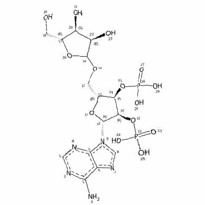 Nc1ncnc2c1ncn2[C@@H]1O[C@H](COC2O[C@H](CO)[C@@H](O)[C@H]2O)[C@@H](OP(=O)(O)O)[C@H]1OP(=O)(O)O